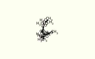 CCC(C)(C)C(=O)OC(C)C(=O)OCCOC(=O)C(C)(C)CC(C)(CC(C)(CC)C(C)=O)C(=O)OCCOC